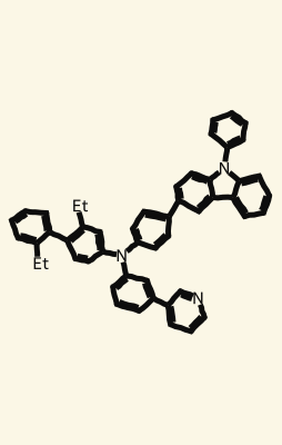 CCc1ccccc1-c1ccc(N(c2ccc(-c3ccc4c(c3)c3ccccc3n4-c3ccccc3)cc2)c2cccc(-c3cccnc3)c2)cc1CC